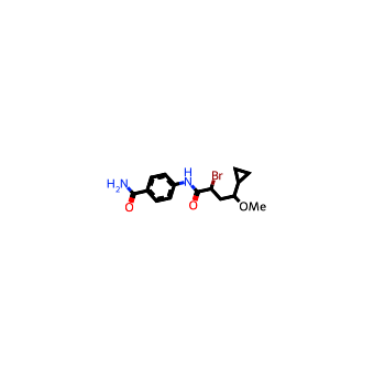 COC(CC(Br)C(=O)Nc1ccc(C(N)=O)cc1)C1CC1